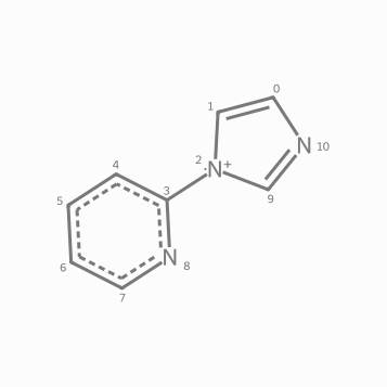 C1=C[N+](c2ccccn2)C=N1